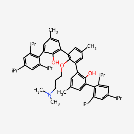 Cc1cc(-c2cc(C)cc(-c3cc(C)cc(-c4c(C(C)C)cc(C(C)C)cc4C(C)C)c3O)c2OCCCN(C)C)c(O)c(-c2c(C(C)C)cc(C(C)C)cc2C(C)C)c1